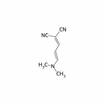 CN(C)C=CC=C(C#N)C#N